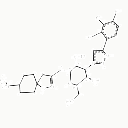 CO[C@@H]1[C@@H](n2cc(-c3ccc(F)c(F)c3F)nn2)[C@@H](O)[C@@H](CO)O[C@@H]1CC1=NOC2(CCC(NC(=O)O)CC2)C1